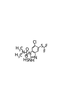 CN(C)S(=O)(=O)n1c(NS)nc2cc(SC(F)F)c(Cl)cc21